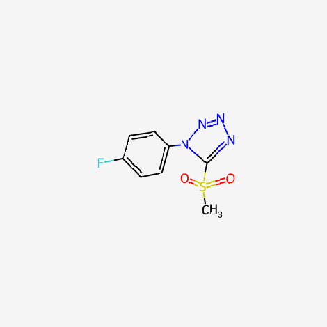 CS(=O)(=O)c1nnnn1-c1ccc(F)cc1